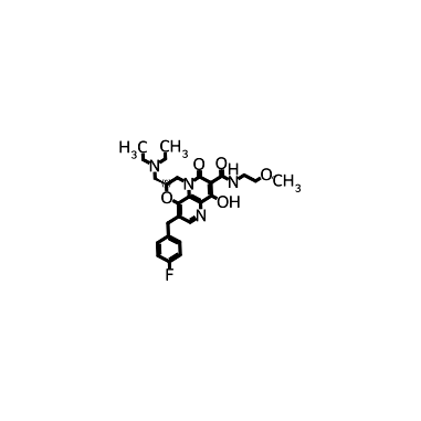 CCN(CC)C[C@H]1Cn2c(=O)c(C(=O)NCCOC)c(O)c3ncc(Cc4ccc(F)cc4)c(c32)O1